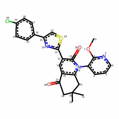 COc1ncccc1-n1c2c(cc(-c3nc(-c4ccc(Cl)cc4)cs3)c1=O)C(=O)CC(C)(C)C2